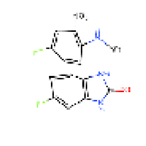 CC(C)Nc1ccc(F)cc1[N+](=O)[O-].O=c1[nH]c2ccc(F)cc2[nH]1